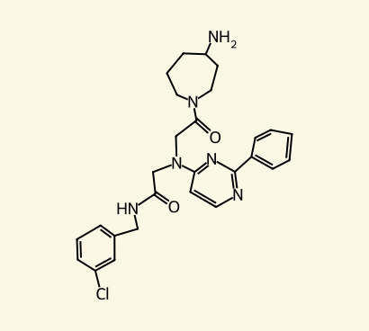 NC1CCCN(C(=O)CN(CC(=O)NCc2cccc(Cl)c2)c2ccnc(-c3ccccc3)n2)CC1